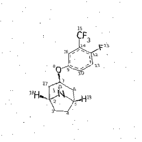 CN1[C@@H]2CC[C@H]1C[C@H](Oc1ccc(F)c(C(F)(F)F)c1)C2